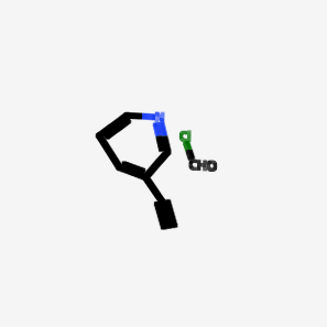 C#Cc1cccnc1.O=CCl